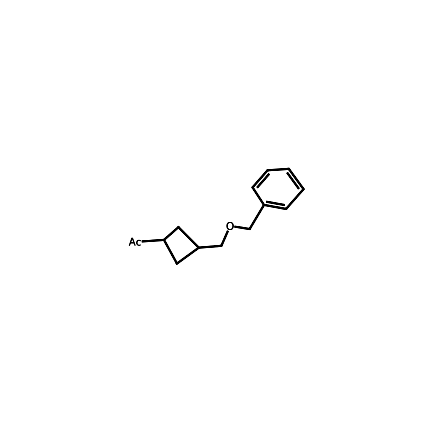 CC(=O)C1CC(COCc2ccccc2)C1